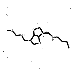 CCCCNCC1COC2C(CNCSC)COC12